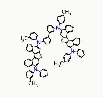 Cc1ccc(N(c2ccccc2)c2cc3sc4cc(N(c5ccc(C)cc5)c5cccc(-c6cccc(N(c7cccc(C)c7)c7cc8sc9cc(N(c%10ccccc%10)c%10cccc(C)c%10)c%10ccccc%10c9c8c8ccccc78)c6)c5)c5ccccc5c4c3c3ccccc23)cc1